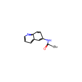 CC(C)(C)C(=O)Nc1ccc2ncccc2c1